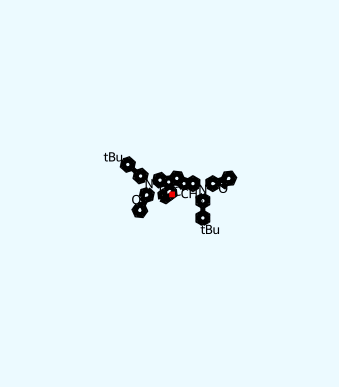 CC(C)(C)c1ccc(-c2ccc(N(c3ccc4c(c3)C(C)(C)c3c-4ccc4c3C3(c5cc(N(c6ccc(-c7ccc(C(C)(C)C)cc7)cc6)c6ccc7c(c6)oc6ccccc67)ccc5-4)C4CC5CC(C4)CC3C5)c3ccc4c(c3)oc3ccccc34)cc2)cc1